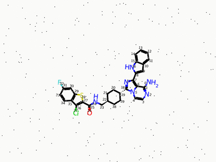 Nc1nccn2c1c(-c1cc3ccccc3[nH]1)nc2[C@H]1CC[C@H](CNC(=O)c2sc3cc(F)ccc3c2Cl)CC1